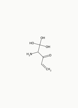 C=CC(=O)C(N)C(O)(O)O